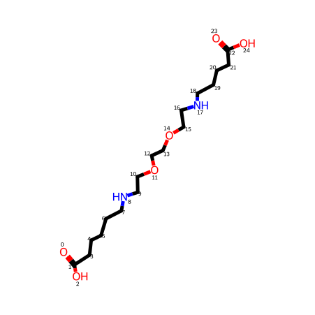 O=C(O)CCCCCNCCOCCOCCNCCCCC(=O)O